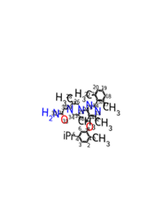 Cc1ccc(C(C)C)cc1OCc1c(C)nc(-c2c(C)cccc2C)nc1N1C[C@H](C)N(CC(N)=O)C[C@H]1C